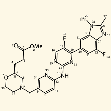 COC(=O)CC[C@H]1CN(Cc2ccc(Nc3ncc(F)c(-c4cc(F)c5nc(C)n(C(C)C)c5c4)n3)nc2)CCO1